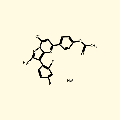 CC(=O)Oc1ccc(-c2cc([O-])n3nc(C)c(-c4ccc(F)cc4F)c3n2)cc1.[Na+]